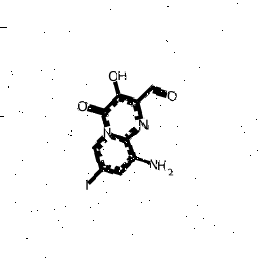 Nc1cc(I)cn2c(=O)c(O)c(C=O)nc12